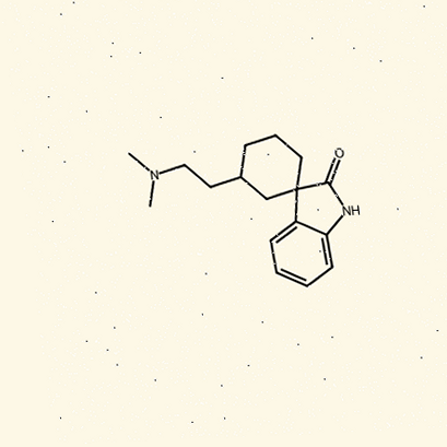 CN(C)CCC1CCCC2(C1)C(=O)Nc1ccccc12